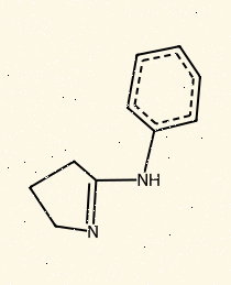 c1ccc(NC2=NCCC2)cc1